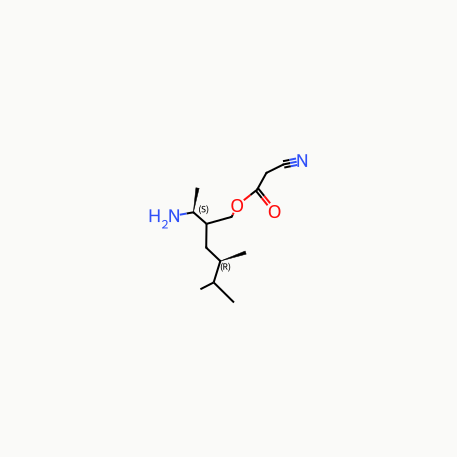 CC(C)[C@H](C)CC(COC(=O)CC#N)[C@H](C)N